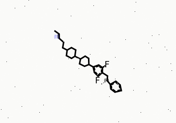 C/C=C/CCC1CCC(C2CCC(c3cc(F)c(C[C@@H](C)c4ccccc4)c(F)c3)CC2)CC1